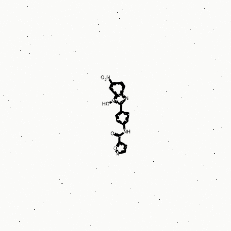 O=C(Nc1ccc(-c2nc3ccc([N+](=O)[O-])cc3n2O)cc1)c1ccno1